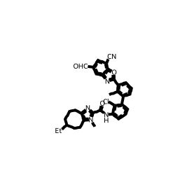 CCC1CCCc2nc(C(=O)Nc3cccc(-c4cccc(-c5nc6cc(C=O)cc(C#N)c6o5)c4C)c3Cl)n(C)c2CC1